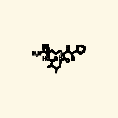 CC(CNC(=O)[C@H](CCCNC(=N)N)NC(=O)c1ccccc1)N(C)C(=O)O